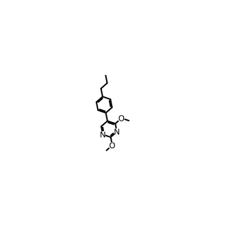 CCCc1ccc(-c2cnc(OC)nc2OC)cc1